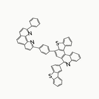 c1ccc(-c2ccc3ccc4ccc(-c5ccc(-c6cc7c(-c8ccc9sc%10ccccc%10c9c8)nc8ccccc8c7c7c6sc6ccccc67)cc5)nc4c3n2)cc1